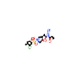 C=CC(=O)NC1CC2CN(S(=O)(=O)c3ccc(C)c(Cl)c3)CC2O1